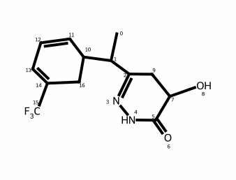 CC(C1=NNC(=O)C(O)C1)C1C=CC=C(C(F)(F)F)C1